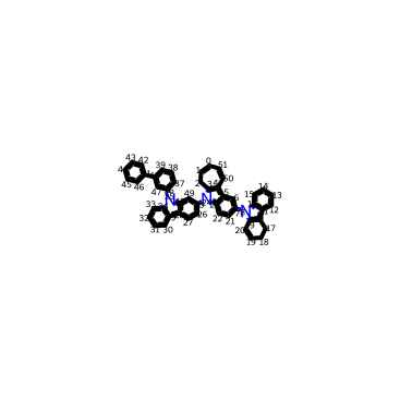 C1=CCc2c(c3cc(-n4c5c(c6ccccc64)CCC=C5)ccc3n2-c2ccc3c4ccccc4n(-c4cccc(-c5ccccc5)c4)c3c2)C=C1